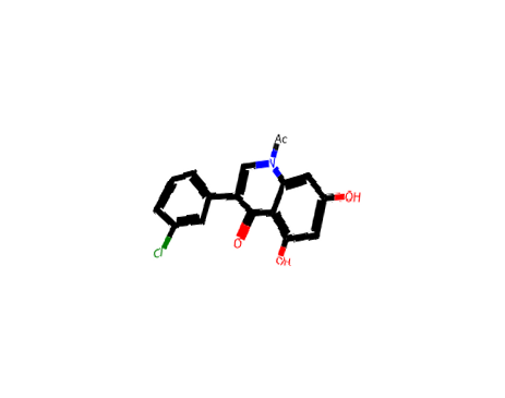 CC(=O)n1cc(-c2cccc(Cl)c2)c(=O)c2c(O)cc(O)cc21